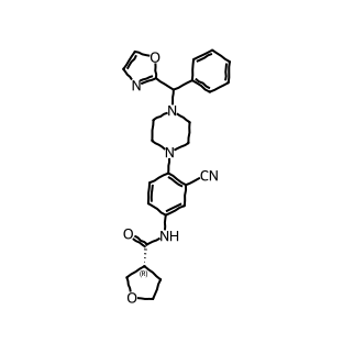 N#Cc1cc(NC(=O)[C@@H]2CCOC2)ccc1N1CCN(C(c2ccccc2)c2ncco2)CC1